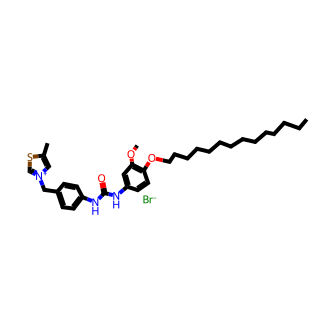 CCCCCCCCCCCCCCOc1ccc(NC(=O)Nc2ccc(C[n+]3csc(C)c3)cc2)cc1OC.[Br-]